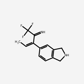 C/C=C(\C(=N)C(F)(F)F)c1ccc2c(c1)CNC2